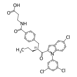 CCC[C@@H](Cc1ccc(C(=O)NCCC(=O)O)cc1)C(=O)c1cc2cc(Cl)ccc2n1-c1cc(Cl)cc(Cl)c1